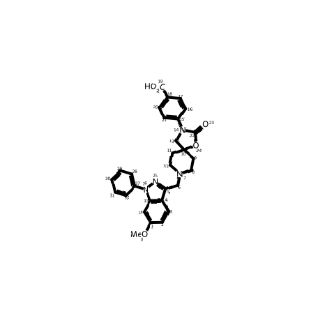 COc1ccc2c(CN3CCC4(CC3)CN(c3ccc(C(=O)O)cc3)C(=O)O4)nn(-c3ccccc3)c2c1